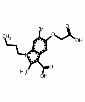 CCCCn1c(C)c(C(=O)O)c2cc(OCC(=O)O)c(Br)cc21